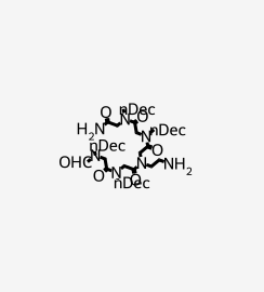 CCCCCCCCCCN(C=O)CC(=O)N(CCCCCCCCCC)CC(=O)N(CCN)CC(=O)N(CCCCCCCCCC)CC(=O)N(CCCCCCCCCC)CC(N)=O